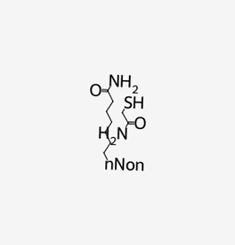 CCCCCCCCCCCCCCCC(N)=O.NC(=O)CS